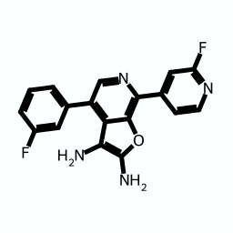 Nc1oc2c(-c3ccnc(F)c3)ncc(-c3cccc(F)c3)c2c1N